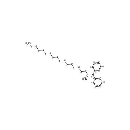 CCCCCCCCCCCCCCCCCC(N)N(c1ccccc1)c1ccccc1